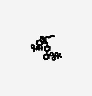 CCCCc1nc2ccc(NC(C)=O)cc2n1Cc1ccc(-c2ccccc2OC(=O)OC(C)(C)C)cc1